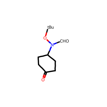 CC(C)(C)ON(C=O)C1CCC(=O)CC1